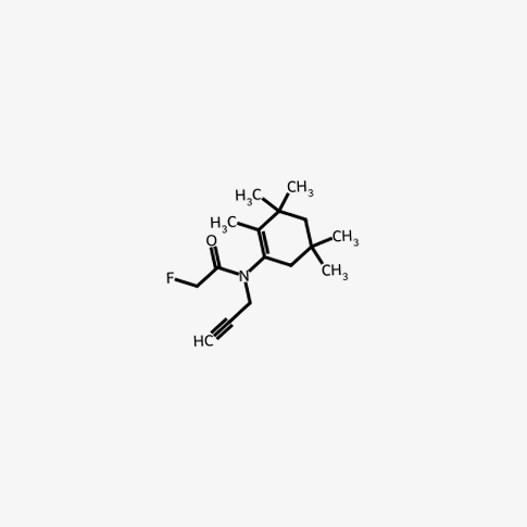 C#CCN(C(=O)CF)C1=C(C)C(C)(C)CC(C)(C)C1